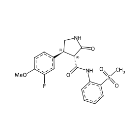 COc1ccc([C@H]2CNC(=O)[C@@H]2C(=O)Nc2ccccc2S(C)(=O)=O)cc1F